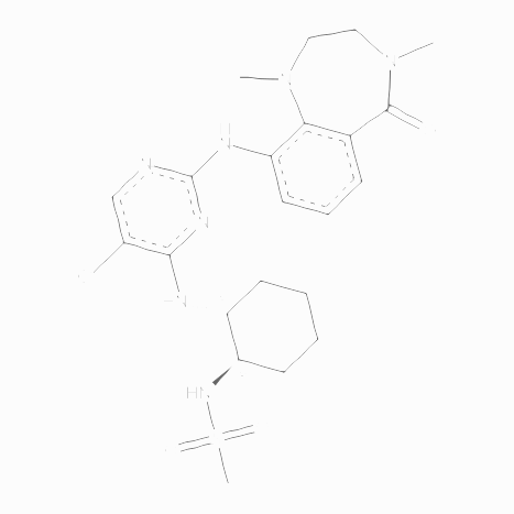 CN1CCN(C)c2c(Nc3ncc(Cl)c(N[C@@H]4CCCC[C@H]4NS(C)(=O)=O)n3)cccc2C1=O